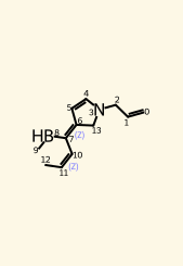 C=CCN1C=C/C(=C(BC)/C=C\C)C1